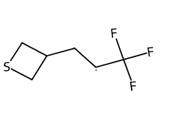 FC(F)(F)[CH]CC1CSC1